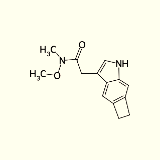 CON(C)C(=O)Cc1c[nH]c2cc3c(cc12)CC3